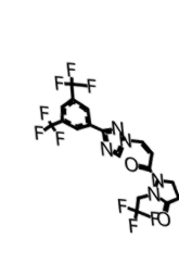 O=C(/C=C\n1cnc(-c2cc(C(F)(F)F)cc(C(F)(F)F)c2)n1)N1CCC(=O)N1CC(F)(F)F